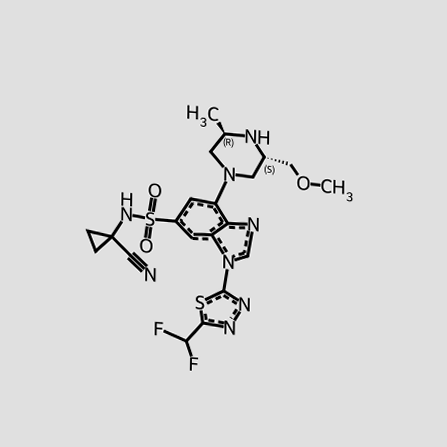 COC[C@@H]1CN(c2cc(S(=O)(=O)NC3(C#N)CC3)cc3c2ncn3-c2nnc(C(F)F)s2)C[C@@H](C)N1